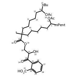 CCCCCC(CCCCCC(C)(CCCCCC(CCCC)OC(C)=O)C(=O)OCC(O)C(=O)c1ccccc1C(=O)O)OC(C)=O